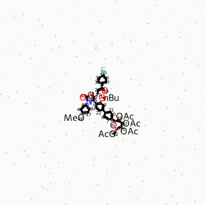 CCCCOc1cc(-c2ccc(C3O[C@H](COC(C)=O)[C@@H](OC(C)=O)[C@H](OC(C)=O)[C@H]3OC(C)=O)cc2)ccc1[C@@H]1[C@@H](CCC(=O)c2ccc(F)cc2)OC(=O)N1c1ccc(OC)cc1